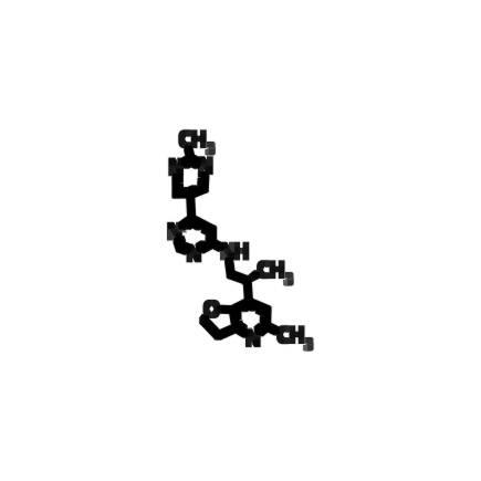 Cc1cc([C@H](C)CNc2cc(-c3cnc(C)nc3)ncn2)c2c(n1)CCO2